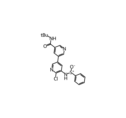 CC(C)(C)NC(=O)c1cncc(-c2cnc(Cl)c(N[S+]([O-])c3ccccc3)c2)c1